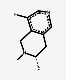 C[C@H]1Cc2cncc(F)c2CN1C